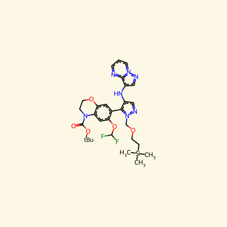 CC(C)(C)OC(=O)N1CCOc2cc(-c3c(Nc4cnn5cccnc45)cnn3COCC[Si](C)(C)C)c(OC(F)F)cc21